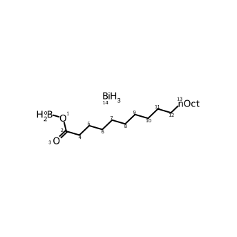 BOC(=O)CCCCCCCCCCCCCCCCC.[BiH3]